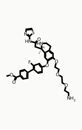 COC(=O)c1ccc(-c2ccc(Oc3cc4c(cc3OCCOCCOCCN)CCN[C@]4(C)CC(=O)Nc3nccs3)cc2F)cc1